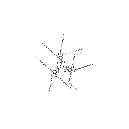 CCCCCCCCCCCCOc1cc(C(=O)Nc2cc(NC(=O)c3cc(OCCCCCCCCCCCC)c(OCCCCCCCCCCCC)c(OCCCCCCCCCCCC)c3)cc(NC(=O)c3cc(OCCCCCCCCCCCC)c(OCCCCCCCCCCCC)c(OCCCCCCCCCCCC)c3)c2)cc(OCCCCCCCCCCCC)c1OCCCCCCCCCCCC